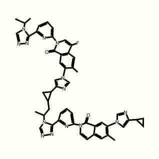 Cc1cc2ccn(-c3cccc(-c4nncn4C(C)CC4CC4c4cn(-c5cc6c(=O)n(-c7cccc(-c8nncn8C(C)C)n7)cc(F)c6cc5C)cn4)n3)c(=O)c2cc1-n1cnc(C2CC2)c1